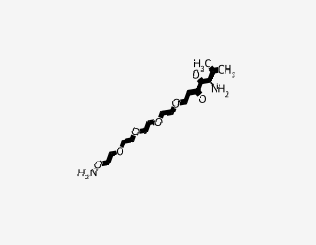 CC(C)[C@H](N)C(=O)C(=O)CCOCCOCCOCCOCCON